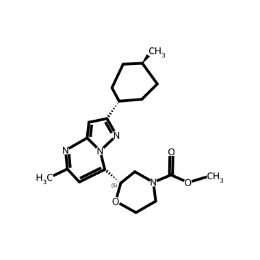 COC(=O)N1CCO[C@H](c2cc(C)nc3cc([C@H]4CC[C@H](C)CC4)nn23)C1